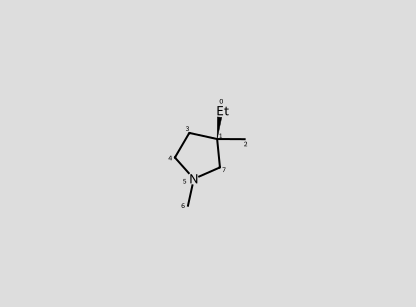 CC[C@]1(C)CCN(C)C1